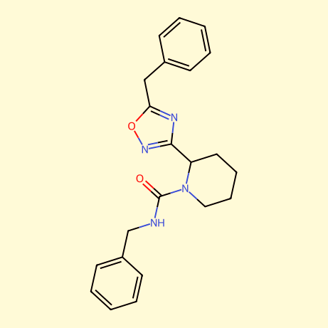 O=C(NCc1ccccc1)N1CCCCC1c1noc(Cc2ccccc2)n1